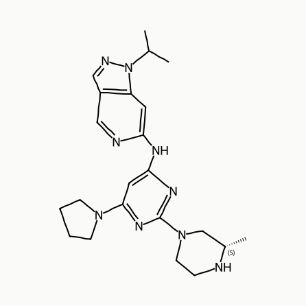 CC(C)n1ncc2cnc(Nc3cc(N4CCCC4)nc(N4CCN[C@@H](C)C4)n3)cc21